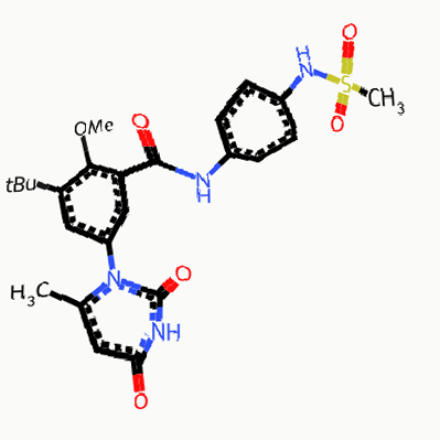 COc1c(C(=O)Nc2ccc(NS(C)(=O)=O)cc2)cc(-n2c(C)cc(=O)[nH]c2=O)cc1C(C)(C)C